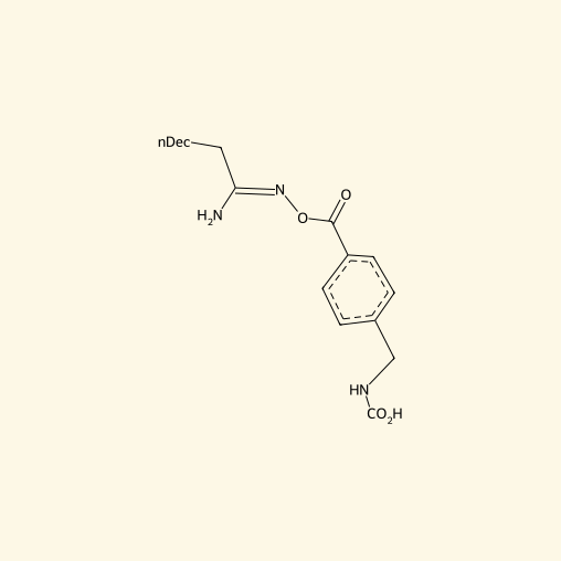 CCCCCCCCCCCC(N)=NOC(=O)c1ccc(CNC(=O)O)cc1